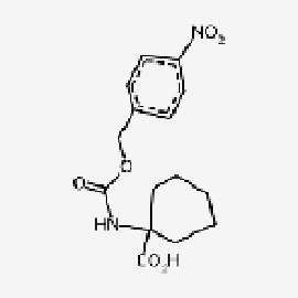 O=C(NC1(C(=O)O)CCCCC1)OCc1ccc([N+](=O)[O-])cc1